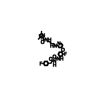 Cc1cc(C)n(C(=O)NC/C=C/CNc2cc(Oc3ccc(NC(=O)NC(=O)Cc4ccc(F)cc4)cc3F)ccn2)n1